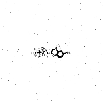 CN1C[C@@H](CO[Si](C)(C)C(C)(C)C)Oc2ccc(N)cc21